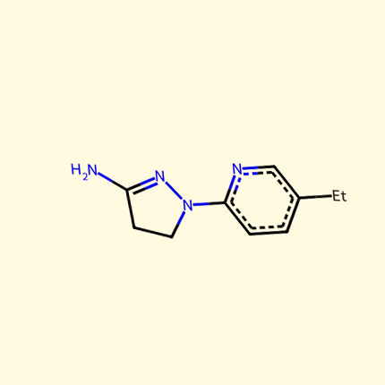 CCc1ccc(N2CCC(N)=N2)nc1